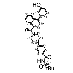 CC(C)(C)S(=O)(=O)NC(=O)c1ccc(N2CCN(C(=O)c3ccc(-c4cccc(O)c4)c4ccccc34)CC2)cc1